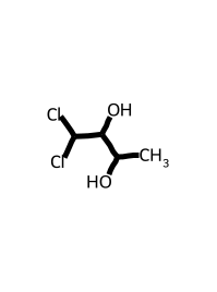 CC(O)C(O)C(Cl)Cl